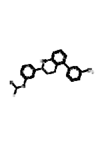 FC(F)Oc1cccc(C2CCc3c(cccc3-c3cccc(C(F)(F)F)c3)N2)c1